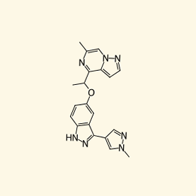 Cc1cn2nccc2c(C(C)Oc2ccc3[nH]nc(-c4cnn(C)c4)c3c2)n1